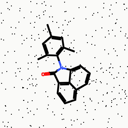 Cc1cc(C)c(N2C(=O)c3cccc4cccc2c34)c(C)c1